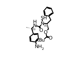 C[C@H](NC(=O)N(S)[C@H](COC(=O)C(C)(C)C)Cc1ccccc1)c1ccc(N)cc1